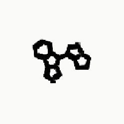 c1ccc2c(c1)-c1cncn1C2c1cnn2c1CCC2